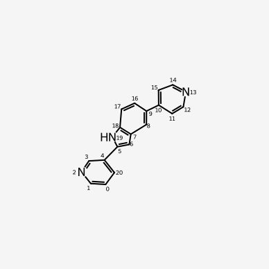 c1cncc(-c2cc3cc(-c4ccncc4)ccc3[nH]2)c1